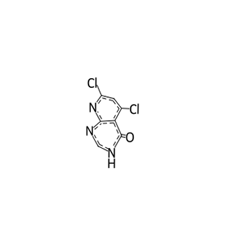 O=c1[nH]cnc2nc(Cl)cc(Cl)c12